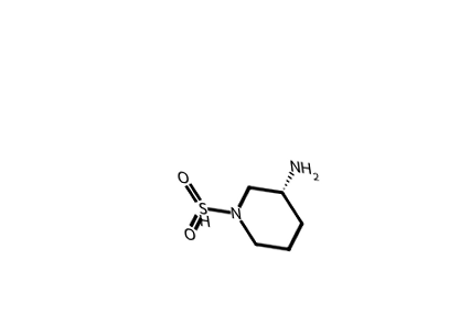 N[C@@H]1CCCN([SH](=O)=O)C1